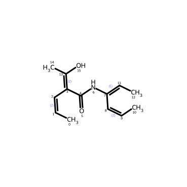 C/C=C\C(C(=O)NC(/C=C\C)=C/C)=C(/C)O